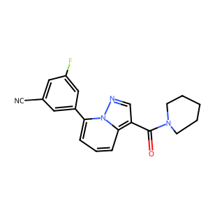 N#Cc1cc(F)cc(-c2cccc3c(C(=O)N4CCCCC4)cnn23)c1